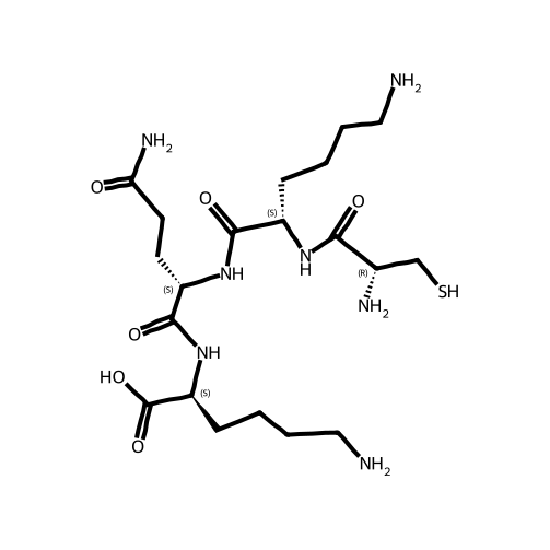 NCCCC[C@H](NC(=O)[C@H](CCC(N)=O)NC(=O)[C@H](CCCCN)NC(=O)[C@@H](N)CS)C(=O)O